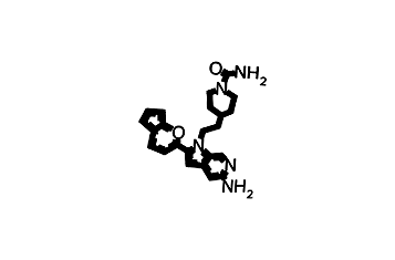 NC(=O)N1CCC(CCn2c(-c3ccc4cccc-4o3)cc3cc(N)ncc32)CC1